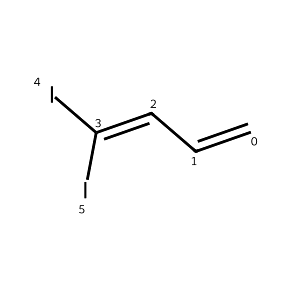 C=CC=C(I)I